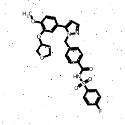 COc1ccc(-c2ccnn2Cc2ccc(C(=O)NS(=O)(=O)c3ccc(F)cc3)cc2)cc1OC1CCOC1